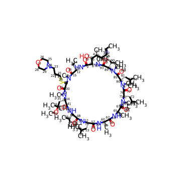 C/C=C/C[C@@H](C)[C@@H](O)[C@H]1C(=O)N[C@@H](CC)C(=O)N(C)[C@H](SCCCN2CCOCC2)C(=O)N(C)[C@@H](CC(C)(C)OC)C(=O)N[C@@H](C(C)C)C(=O)N(C)[C@@H](CC(C)C)C(=O)N[C@@H](C)C(=O)N[C@H](C)C(=O)N(C)[C@@H](CC(C)C)C(=O)N(C)[C@@H](CC(C)C)C(=O)N(C)[C@@H](C(C)C)C(=O)N1C